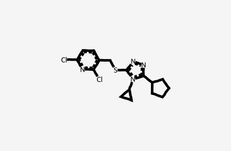 Clc1ccc(CSc2nnc(C3CCCC3)n2C2CC2)c(Cl)n1